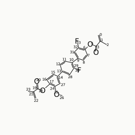 C=C(C)C(=O)Oc1ccc(-c2ccc(-c3ccc(OC(=O)C(=C)C)c(OC)c3)cc2F)cc1F